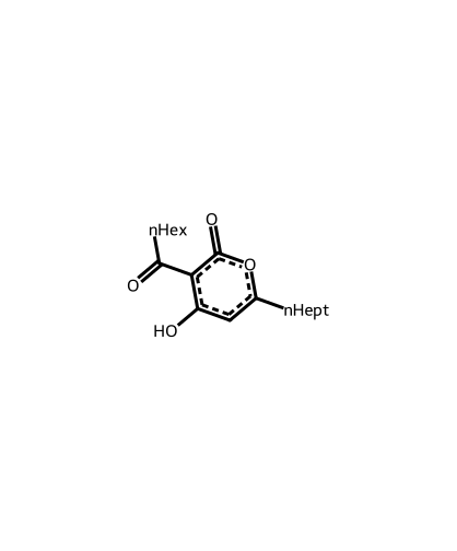 CCCCCCCc1cc(O)c(C(=O)CCCCCC)c(=O)o1